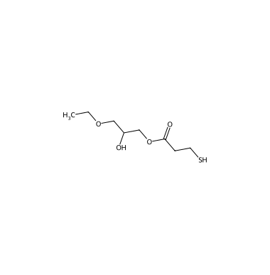 CCOCC(O)COC(=O)CCS